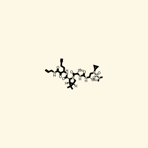 C#CCCC(NC(=O)[C@@H]1[C@@H]2[C@H](CN1C(=O)[C@@H](NC(=O)N[C@H](CN(C1CC1)S(=O)(=O)N(C)C)C(C)(C)C)C(C)(C)C)C2(C)C)C(=O)C(=O)NCC=C